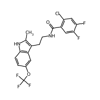 Cc1[nH]c2ccc(OC(F)(F)F)cc2c1CCNC(=O)c1cc(F)c(F)cc1Cl